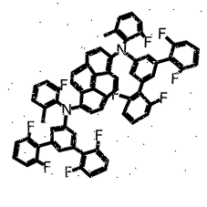 Cc1cccc(F)c1N(c1cc(-c2c(F)cccc2F)cc(-c2c(F)cccc2F)c1)c1ccc2ccc3c(N(c4cc(-c5c(F)cccc5F)cc(-c5c(F)cccc5F)c4)c4c(C)cccc4F)ccc4ccc1c2c43